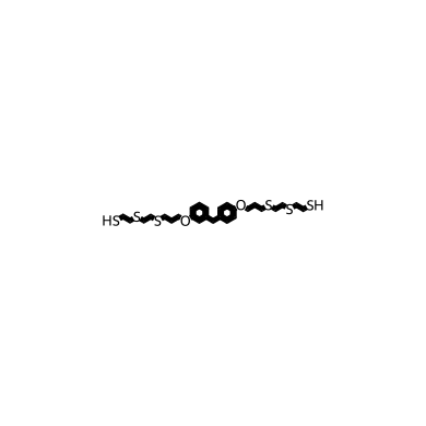 SCCSCCSCCCOc1ccc(Cc2cccc(OCCCSCCSCCS)c2)cc1